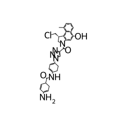 Cc1cccc2c(O)cc3c(c12)[C@H](CCl)CN3C(=O)c1cn(C2=CC=C(NC(=O)C3C=CC(N)=CC3)CC2)nn1